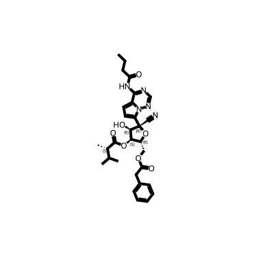 CCCC(=O)Nc1ncnn2c([C@]3(C#N)O[C@H](COC(=O)Cc4ccccc4)[C@@H](OC(=O)[C@@H](C)C(C)C)[C@H]3O)ccc12